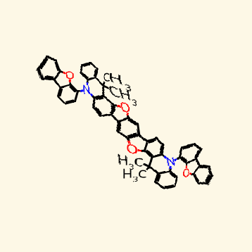 CC1(C)c2ccccc2N(c2cccc3c2oc2ccccc23)c2ccc3c(oc4cc5c(cc43)oc3c4c(ccc35)N(c3cccc5c3oc3ccccc35)c3ccccc3C4(C)C)c21